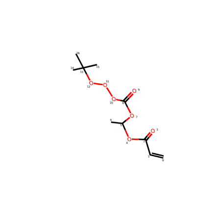 C=CC(=O)OC(C)OC(=O)OOOC(C)(C)C